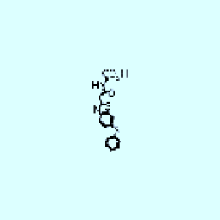 O=C(O)CNC(=O)Cc1nc2ccc(Sc3ccccc3)cc2s1